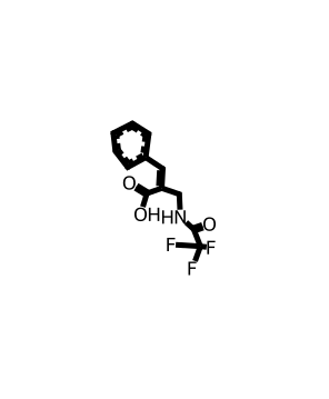 O=C(O)C(=Cc1ccccc1)CNC(=O)C(F)(F)F